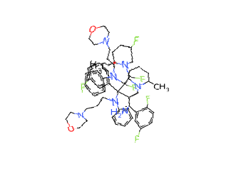 CC1CCCCN1CC([C](N)c1cc(F)ccc1F)C(c1cccc(F)c1)(N(CCCN1CCOCC1)c1ccccc1)C(F)(C(F)N1CC(F)CCC1C)N(CCCN1CCOCC1)c1ccccc1